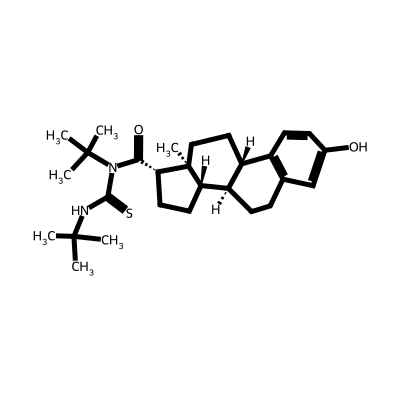 CC(C)(C)NC(=S)N(C(=O)[C@H]1CC[C@H]2[C@@H]3CCc4cc(O)ccc4[C@H]3CC[C@]12C)C(C)(C)C